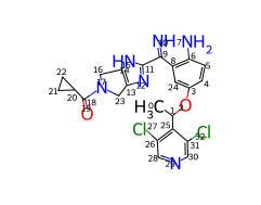 CC(Oc1ccc(N)c(C(=N)c2nc3c([nH]2)CN(C(=O)C2CC2)C3)c1)c1c(Cl)cncc1Cl